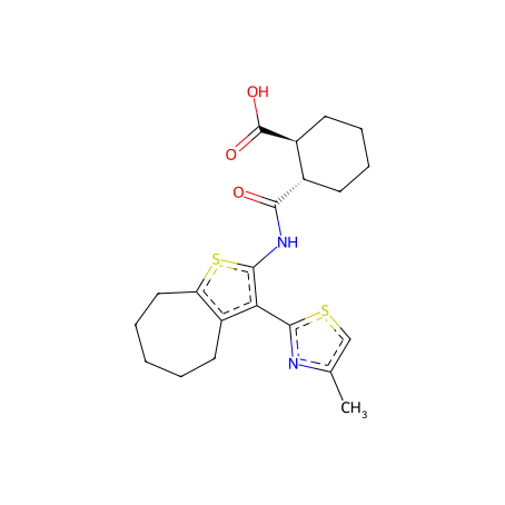 Cc1csc(-c2c(NC(=O)[C@H]3CCCC[C@@H]3C(=O)O)sc3c2CCCCC3)n1